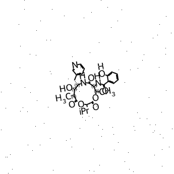 CC(C)C1OC(=O)[C@H](C)[C@H](O)[C@H](Cc2cccnc2)NC(=O)[C@@H](NC(=O)c2ccccc2O)[C@@H](C)OC1=O